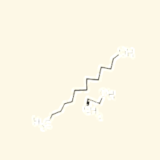 C=CCO.CCCCCCCCCCCCO